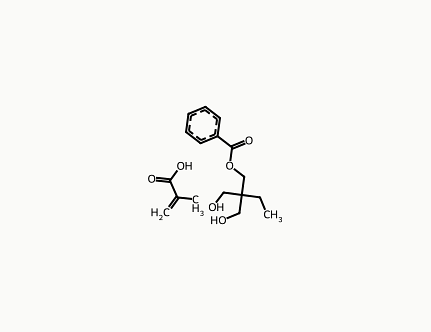 C=C(C)C(=O)O.CCC(CO)(CO)COC(=O)c1ccccc1